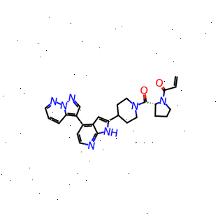 C=CC(=O)N1CCC[C@@H]1C(=O)N1CCC(c2cc3c(-c4cnn5ncccc45)ccnc3[nH]2)CC1